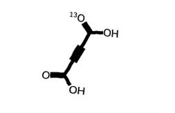 O=C(O)C#CC(O)=[13O]